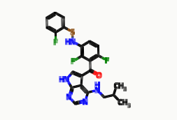 CC(C)CNc1ncnc2[nH]cc(C(=O)c3c(F)ccc(NSc4ccccc4F)c3F)c12